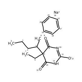 CCCC(C)C1(CC)C(=O)N=C([O-])NC1=O.[Na+].c1ccccc1